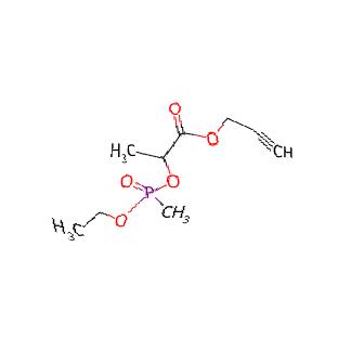 C#CCOC(=O)C(C)OP(C)(=O)OCC